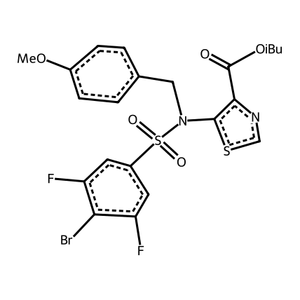 COc1ccc(CN(c2scnc2C(=O)OCC(C)C)S(=O)(=O)c2cc(F)c(Br)c(F)c2)cc1